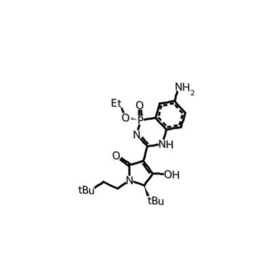 CCO[P@@]1(=O)N=C(C2=C(O)[C@@H](C(C)(C)C)N(CCC(C)(C)C)C2=O)Nc2ccc(N)cc21